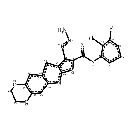 NN=Nc1c(C(=O)Nc2cccc(Cl)c2Cl)sc2nc3cc4c(cc3cc12)OCCO4